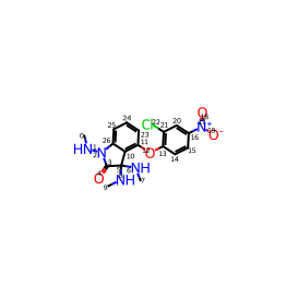 CNN1C(=O)C(NC)(NC)c2c(Oc3ccc([N+](=O)[O-])cc3Cl)cccc21